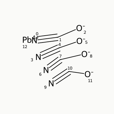 N#C[O-].N#C[O-].N#C[O-].N#C[O-].[Pb+4]